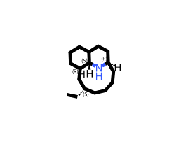 CC[C@H]1CCCC[C@@H]2CCC3CCC[C@H](C1)[C@H]3N2